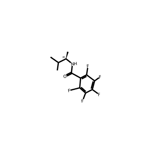 CC(C)[C@@H](C)NC(=O)c1c(F)c(F)c(F)c(F)c1F